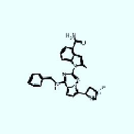 Cc1cc2c(C(N)=O)cccc2n1-c1nc(NCc2ccccc2)c2ccc(C3C[C@H](F)CN3)n2n1